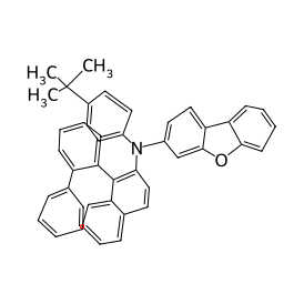 CC(C)(C)c1ccc(N(c2ccc3c(c2)oc2ccccc23)c2ccc3ccccc3c2-c2ccccc2-c2ccccc2)cc1